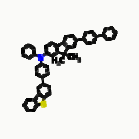 CC1(C)c2cc(-c3ccc(-c4ccccc4)cc3)ccc2-c2ccc(N(c3ccccc3)c3ccc(-c4ccc5sc6ccccc6c5c4)cc3)cc21